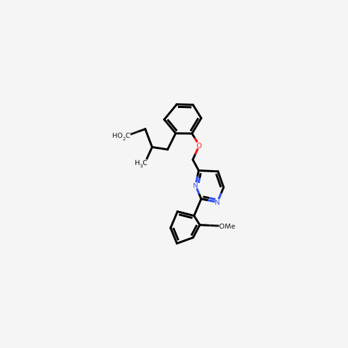 COc1ccccc1-c1nccc(COc2ccccc2CC(C)CC(=O)O)n1